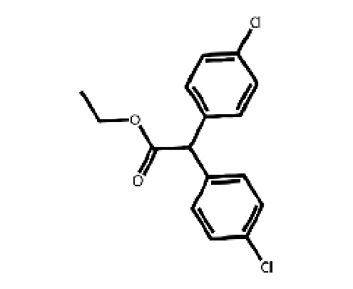 CCOC(=O)C(c1ccc(Cl)cc1)c1ccc(Cl)cc1